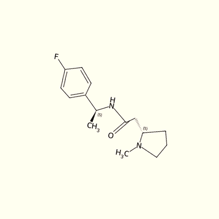 C[C@H](NC(=O)C[C@@H]1CCCN1C)c1ccc(F)cc1